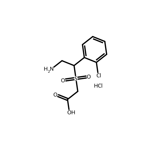 Cl.NCC(c1ccccc1Cl)S(=O)(=O)CC(=O)O